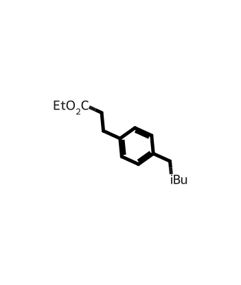 CCOC(=O)CCc1ccc(CC(C)CC)cc1